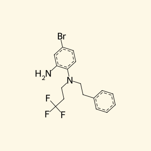 Nc1cc(Br)ccc1N(CCc1ccccc1)CCC(F)(F)F